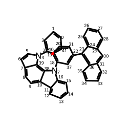 c1ccc(-n2ccc3ccc4c5ccccc5n(-c5cccc(-c6c7ccccc7cc7ccccc67)c5)c4c32)cc1